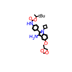 CC(OC(=O)Nc1ccc(-c2c(N)c3cc(OCC4COCO4)ccc3n2C2CCC2)cc1)C(C)(C)C